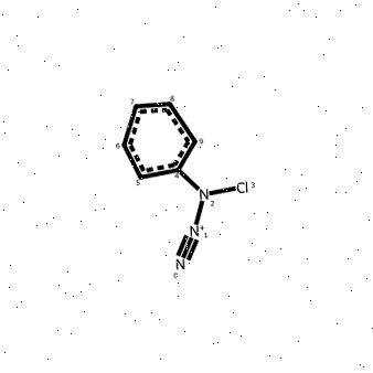 N#[N+]N(Cl)c1ccccc1